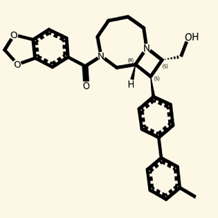 Cc1cccc(-c2ccc([C@@H]3[C@@H](CO)N4CCCCN(C(=O)c5ccc6c(c5)OCO6)C[C@@H]34)cc2)c1